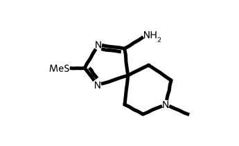 CSC1=NC2(CCN(C)CC2)C(N)=N1